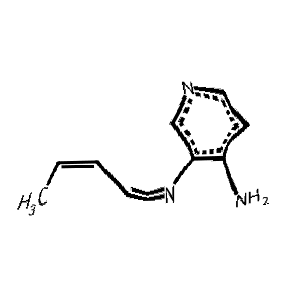 C/C=C\C=N/c1cnccc1N